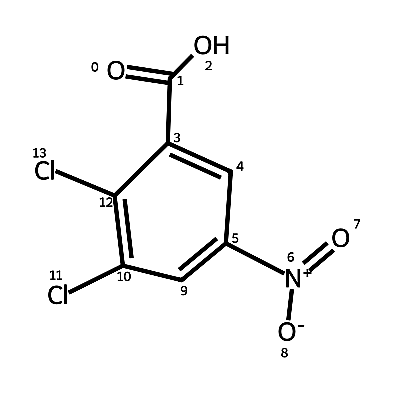 O=C(O)c1cc([N+](=O)[O-])cc(Cl)c1Cl